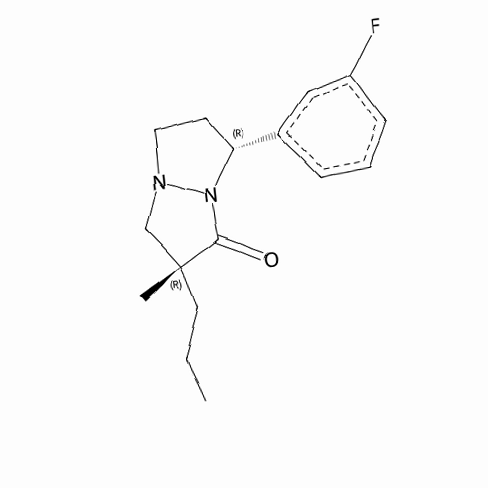 CCC[C@]1(C)CN2CC[C@H](c3cccc(F)c3)N2C1=O